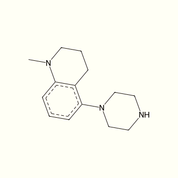 CN1CCCc2c1cccc2N1CCNCC1